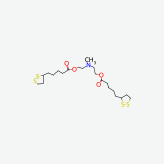 CN(CCOC(=O)CCCCC1CCSS1)CCOC(=O)CCCCC1CCSS1